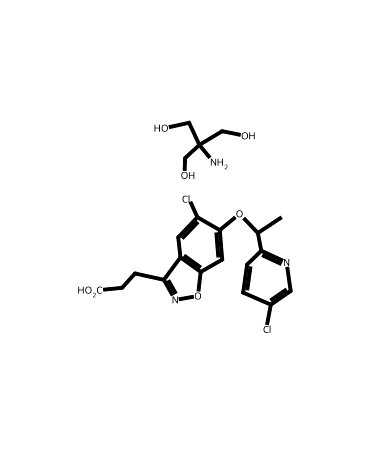 CC(Oc1cc2onc(CCC(=O)O)c2cc1Cl)c1ccc(Cl)cn1.NC(CO)(CO)CO